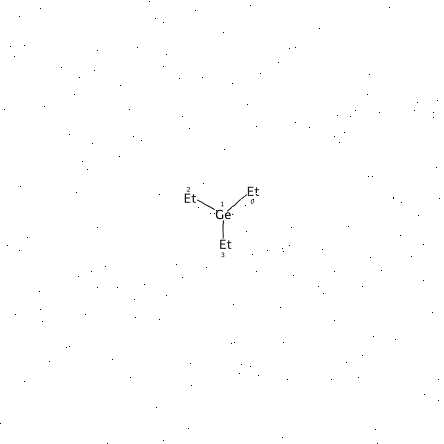 C[CH2][Ge]([CH2]C)[CH2]C